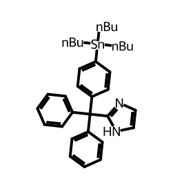 CCC[CH2][Sn]([CH2]CCC)([CH2]CCC)[c]1ccc(C(c2ccccc2)(c2ccccc2)c2ncc[nH]2)cc1